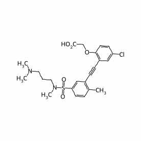 Cc1ccc(S(=O)(=O)N(C)CCCN(C)C)cc1C#Cc1cc(Cl)ccc1OCC(=O)O